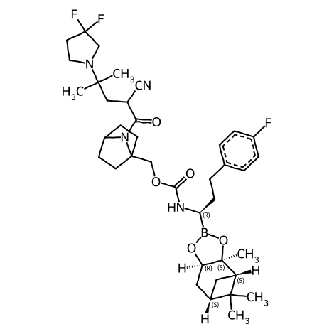 CC1(C)[C@@H]2C[C@H]3OB([C@H](CCc4ccc(F)cc4)NC(=O)OCC45CCC(CC4)N5C(=O)C(C#N)CC(C)(C)N4CCC(F)(F)C4)O[C@@]3(C)[C@H]1C2